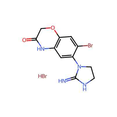 Br.N=C1NCCN1c1cc2c(cc1Br)OCC(=O)N2